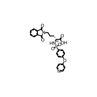 O=C(O)[C@@H](CCCN1C(=O)c2ccccc2C1=O)NS(=O)(=O)c1ccc(Oc2ccncc2)cc1